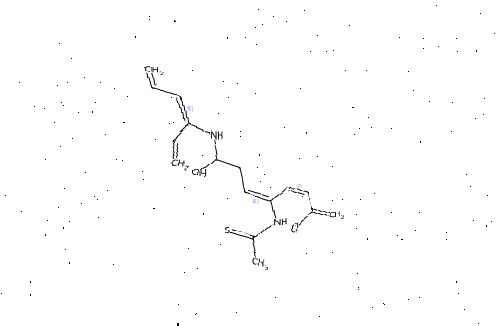 C=C/C=C(\C=C)NC(O)C/C=C(\C=C/C(=C)Cl)NC(C)=S